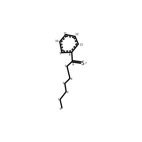 CCCCCCC(=S)c1ccccc1